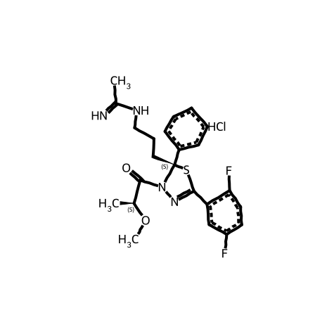 CO[C@@H](C)C(=O)N1N=C(c2cc(F)ccc2F)S[C@@]1(CCCNC(C)=N)c1ccccc1.Cl